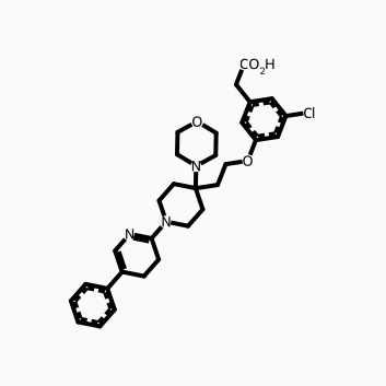 O=C(O)Cc1cc(Cl)cc(OCCC2(N3CCOCC3)CCN(C3=NC=C(c4ccccc4)CC3)CC2)c1